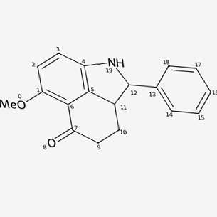 COc1ccc2c3c1C(=O)CCC3C(c1ccccc1)N2